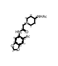 CC(=O)NC1CCN(CC(=O)Nc2cc3c(cc2C(C)=O)OCO3)CC1